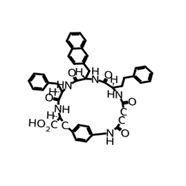 O=C1CCC(=O)N[C@H](CCc2ccccc2)C(=O)N[C@@H](Cc2ccc3ccccc3c2)C(=O)N[C@H](Cc2ccccc2)C(=O)N[C@H](C(=O)O)Cc2ccc(cc2)N1